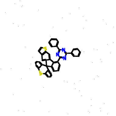 c1ccc(-c2nc(-c3ccccc3)nc(-c3cccc4c3-c3cc5sccc5cc3C43c4ccccc4Sc4ccccc43)n2)cc1